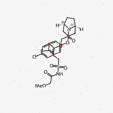 COCC(=O)NS(=O)(=O)Cc1cc(Cl)ccc1OCC(=O)N1[C@@H]2CC[C@H]1CC(Oc1ccc(F)cc1)C2